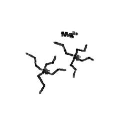 CC[CH2][Al-]([CH2]CC)([CH2]CC)[CH2]CC.CC[CH2][Al-]([CH2]CC)([CH2]CC)[CH2]CC.[Mg+2]